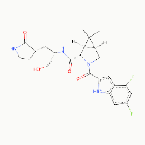 CC1(C)[C@@H]2[C@@H](C(=O)N[C@H](CO)C[C@@H]3CCNC3=O)N(C(=O)c3cc4c(F)cc(F)cc4[nH]3)C[C@@H]21